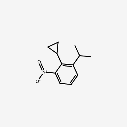 C[C](C)c1cccc([N+](=O)[O-])c1C1CC1